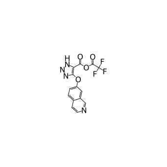 O=C(OC(=O)C(F)(F)F)c1[nH]nnc1Oc1ccc2ccncc2c1